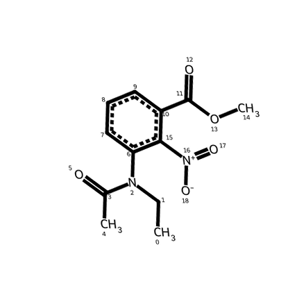 CCN(C(C)=O)c1cccc(C(=O)OC)c1[N+](=O)[O-]